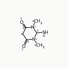 CN1C(=O)CC(=O)N(C)C1S